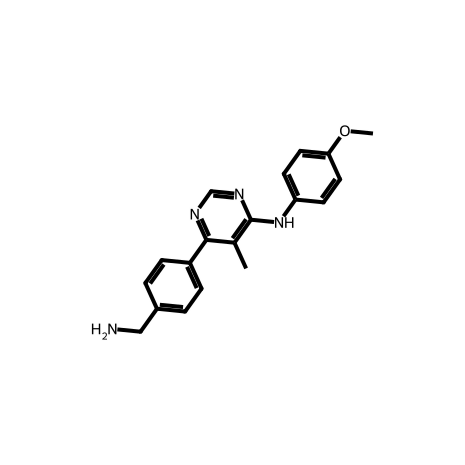 COc1ccc(Nc2ncnc(-c3ccc(CN)cc3)c2C)cc1